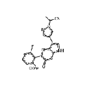 COc1cccc(F)c1-n1nc2c(-c3cnn(C(C)C#N)c3)n[nH]c2cc1=O